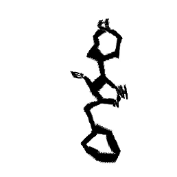 CCc1c(Cc2ccccc2)n[nH]c1C1CCNCC1